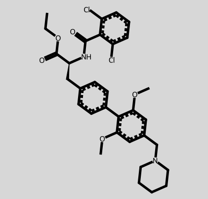 CCOC(=O)[C@H](Cc1ccc(-c2c(OC)cc(CN3CCCCC3)cc2OC)cc1)NC(=O)c1c(Cl)cccc1Cl